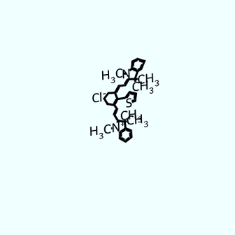 CN1C(=CC=C2CCCC(C=CC3=[N+](C)c4ccccc4C3(C)C)=C2c2cccs2)C(C)(C)c2ccccc21.[Cl-]